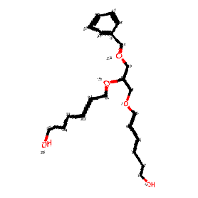 OCCCCCCOCC(COCc1ccccc1)OCCCCCCO